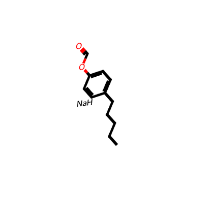 CCCCCc1ccc(OC=O)cc1.[NaH]